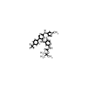 Cn1cc(Nc2ncc(-c3ccc(C(F)(F)F)cc3)c(Nc3cc(NC(=O)OC(C)(C)C)ncc3F)n2)cn1